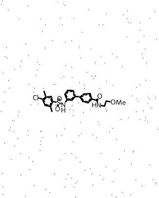 COC[C@H](C)NC(=O)c1ccc(-c2cccc(NS(=O)(=O)c3cc(C)c(Cl)cc3C)c2)cc1